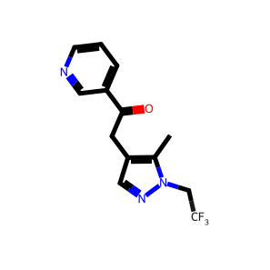 Cc1c(CC(=O)c2cccnc2)cnn1CC(F)(F)F